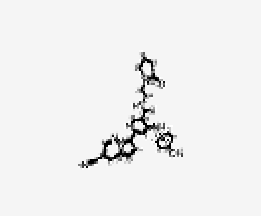 N#Cc1cnn2c(-c3cc(NC45CCC(O)(CC4)CC5)c(C(=O)NCCN4CCCC4=O)cn3)ccc2c1